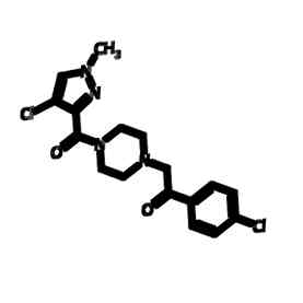 Cn1cc(Cl)c(C(=O)N2CCN(CC(=O)c3ccc(Cl)cc3)CC2)n1